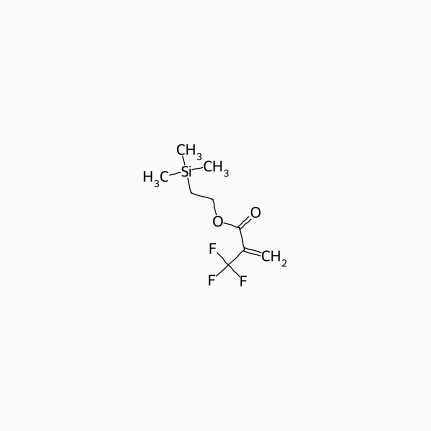 C=C(C(=O)OCC[Si](C)(C)C)C(F)(F)F